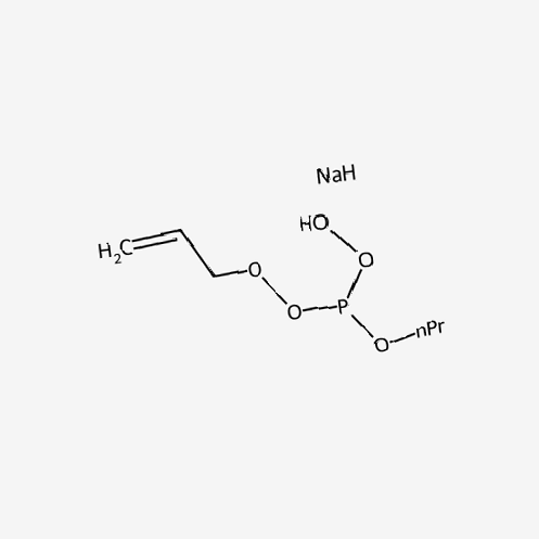 C=CCOOP(OO)OCCC.[NaH]